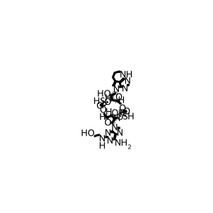 Nc1nc(NCCO)nc2c1ncn2[C@@H]1O[C@@H]2COP(=O)(S)O[C@H]3[C@@H](O)[C@H](n4cc5c6c(ncnc64)NCCC5)O[C@@H]3COP(=O)(S)O[C@@H]1[C@@H]2O